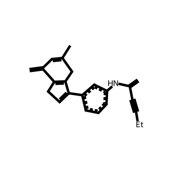 C=C(C#CCC)Nc1cccc(C2=CCC3=C2CC(C)=CC3=C)c1